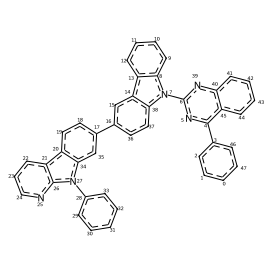 c1ccc(-c2nc(-n3c4ccccc4c4cc(-c5ccc6c7cccnc7n(-c7ccccc7)c6c5)ccc43)nc3ccccc23)cc1